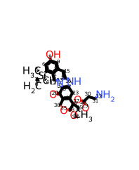 C=C[Si](C)(C)c1cc(O)cc2c1CN1C(=C2)NC2=C1C(=O)C1=C(C2)C(CC)(OC(=O)CCN)C(=O)OC1